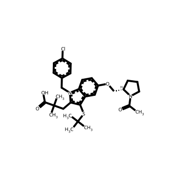 CC(=O)N1CCC[C@H]1COc1ccc2c(c1)c(SC(C)(C)C)c(CC(C)(C)C(=O)O)n2Cc1ccc(Cl)cc1